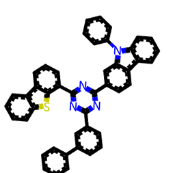 c1ccc(-c2cccc(-c3nc(-c4ccc5c6ccccc6n(-c6ccccc6)c5c4)nc(-c4cccc5c4sc4ccccc45)n3)c2)cc1